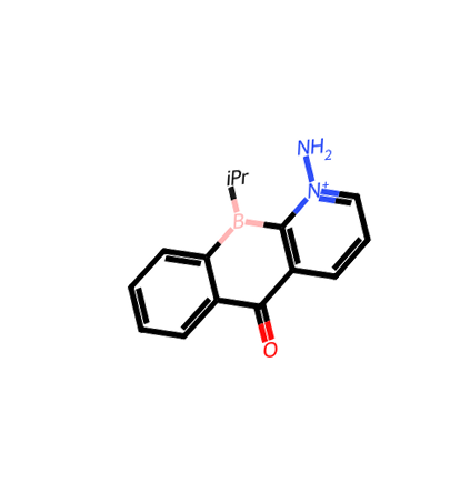 CC(C)B1c2ccccc2C(=O)c2ccc[n+](N)c21